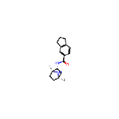 O=C(N[C@@H]1C[C@H]2CC[C@@H]1N2)c1ccc2c(c1)CCC2